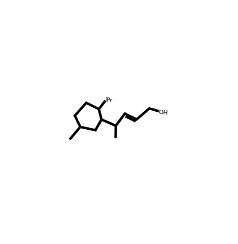 CC1CCC(C(C)C)C(C(C)/C=C/CO)C1